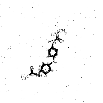 CNC(=O)Nc1ccc(Sc2ccc(NC(C)=O)cc2)cc1